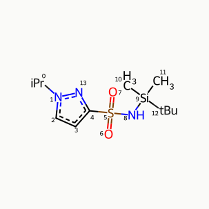 CC(C)n1ccc(S(=O)(=O)N[Si](C)(C)C(C)(C)C)n1